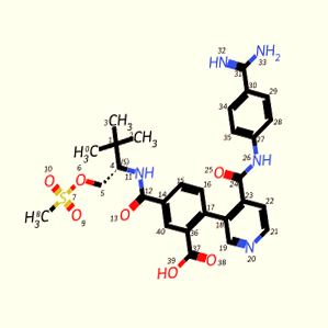 CC(C)(C)[C@@H](COS(C)(=O)=O)NC(=O)c1ccc(-c2cnccc2C(=O)Nc2ccc(C(=N)N)cc2)c(C(=O)O)c1